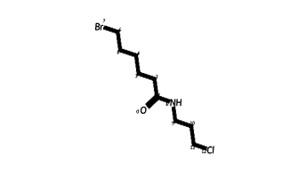 O=C(CCCCCBr)NCCCCl